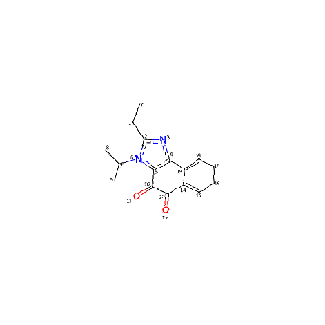 CCc1nc2c(n1C(C)C)C(=O)C(=O)C1=CCCC=C12